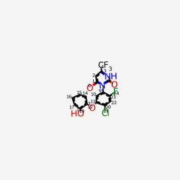 O=c1cc(C(F)(F)F)[nH]c(=O)n1-c1cc(Oc2ccccc2O)c(Cl)cc1F